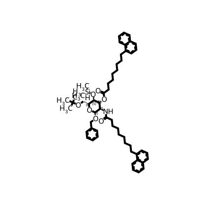 C[SiH](C)O[C@H]1[C@H](OC(=O)CCCCCCCCc2cccc3ccccc23)[C@@H](NC(=O)CCCCCCCCc2cccc3ccccc23)[C@H](OCc2ccccc2)O[C@@H]1COC(C)(C)C